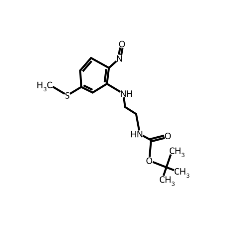 CSc1ccc(N=O)c(NCCNC(=O)OC(C)(C)C)c1